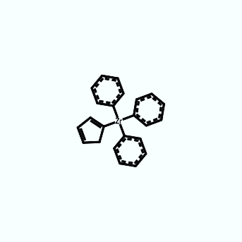 C1=CC[C]([Zr]([c]2ccccc2)([c]2ccccc2)[c]2ccccc2)=C1